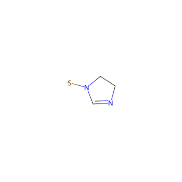 [S]N1C=NCC1